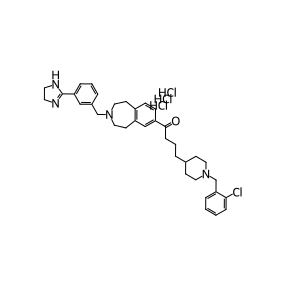 Cl.Cl.Cl.O=C(CCCC1CCN(Cc2ccccc2Cl)CC1)c1ccc2c(c1)CCN(Cc1cccc(C3=NCCN3)c1)CC2